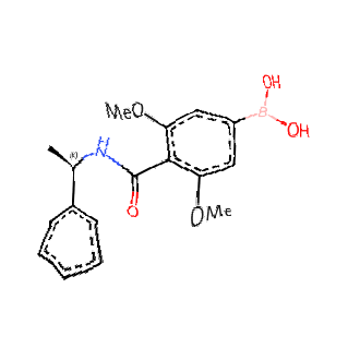 COc1cc(B(O)O)cc(OC)c1C(=O)N[C@H](C)c1ccccc1